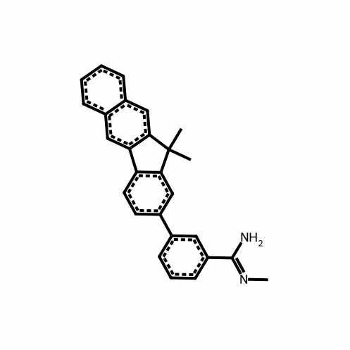 C/N=C(\N)c1cccc(-c2ccc3c(c2)C(C)(C)c2cc4ccccc4cc2-3)c1